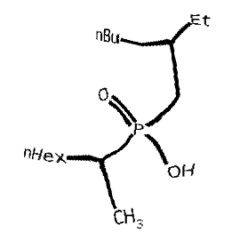 CCCCCCC(C)P(=O)(O)CC(CC)CCCC